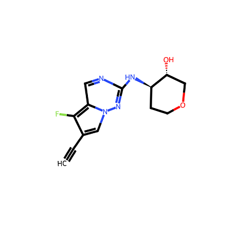 C#Cc1cn2nc(N[C@@H]3CCOC[C@H]3O)ncc2c1F